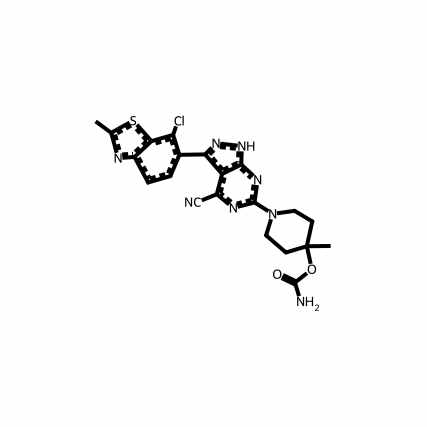 Cc1nc2ccc(-c3n[nH]c4nc(N5CCC(C)(OC(N)=O)CC5)nc(C#N)c34)c(Cl)c2s1